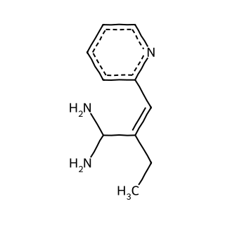 CCC(=Cc1ccccn1)C(N)N